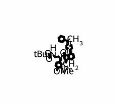 C=C1c2cccc(N3CCN([C@H](C)c4ccccc4)CC3)c2C(=O)N1C(CCNC(=O)OC(C)(C)C)c1ccc(OC)c(C(C)C)c1